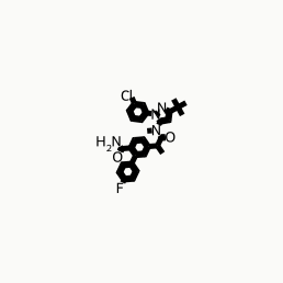 CC(C(=O)N(C)c1cc(C(C)(C)C)nn1-c1cccc(Cl)c1)c1ccc(C(N)=O)c(-c2ccc(F)cc2)c1